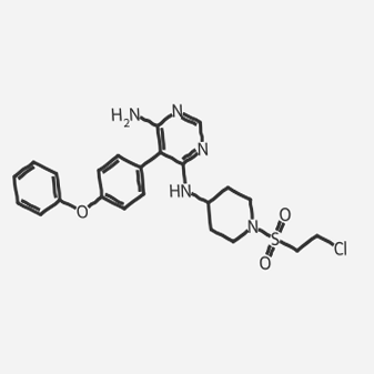 Nc1ncnc(NC2CCN(S(=O)(=O)CCCl)CC2)c1-c1ccc(Oc2ccccc2)cc1